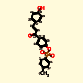 Cc1ccc(S(=O)(=O)Oc2ccc(C(=O)/C=C/c3ccc(O)cc3)cc2)cc1